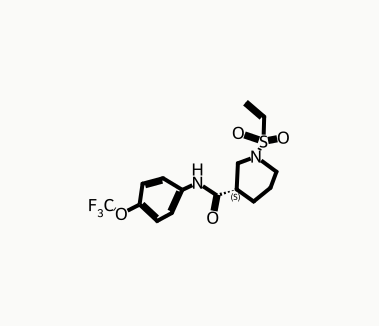 C=CS(=O)(=O)N1CCC[C@H](C(=O)Nc2ccc(OC(F)(F)F)cc2)C1